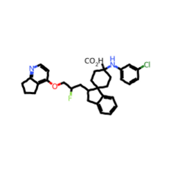 O=C(O)C1(Nc2cccc(Cl)c2)CCC2(CC1)c1ccccc1CC2CC(F)COc1ccnc2c1CCC2